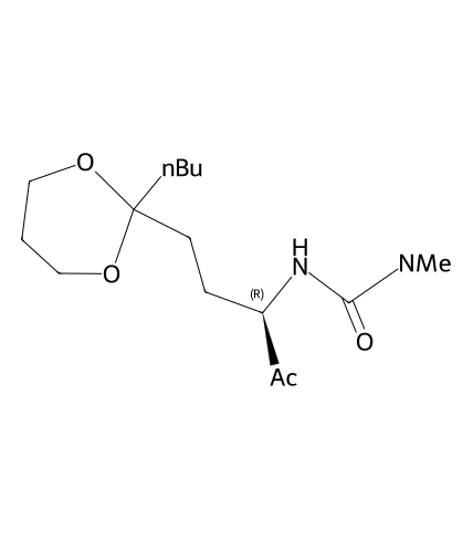 CCCCC1(CC[C@@H](NC(=O)NC)C(C)=O)OCCCO1